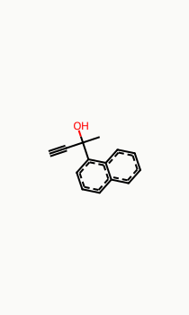 C#CC(C)(O)c1cccc2ccccc12